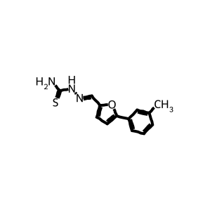 Cc1cccc(-c2ccc(/C=N/NC(N)=S)o2)c1